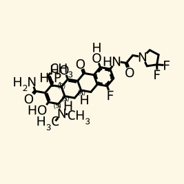 CC=C1C(C(N)=O)=C(O)[C@@H](N(C)C)[C@@H]2C[C@@H]3Cc4c(F)cc(NC(=O)CN5CCC(F)(F)C5)c(O)c4C(=O)C3=C(O)[C@]12P